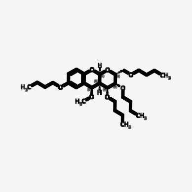 CCCCOC[C@H]1O[C@@H]2Oc3ccc(OCCCC)cc3[C@H](OC)[C@@H]2[C@@H](OCCCC)[C@H]1OCCCC